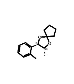 [CH2][C@H]1OC2(CCCC2)O[C@@H]1c1ccccc1C